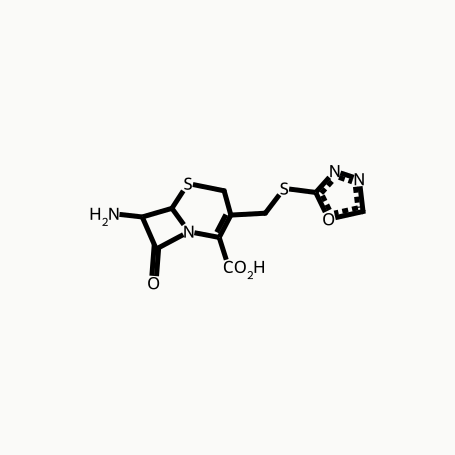 NC1C(=O)N2C(C(=O)O)=C(CSc3nnco3)CSC12